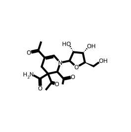 CC(=O)C1=CN(C2O[C@H](CO)[C@@H](O)[C@H]2O)C(C(C)=O)C(C(C)=O)(C(N)=O)C1